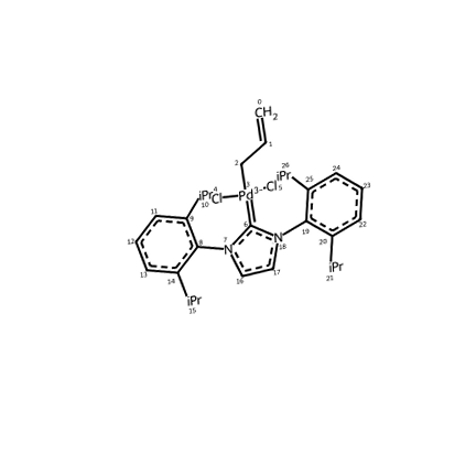 C=C[CH2][Pd-3]([Cl])([Cl])=[c]1n(-c2c(C(C)C)cccc2C(C)C)ccn1-c1c(C(C)C)cccc1C(C)C